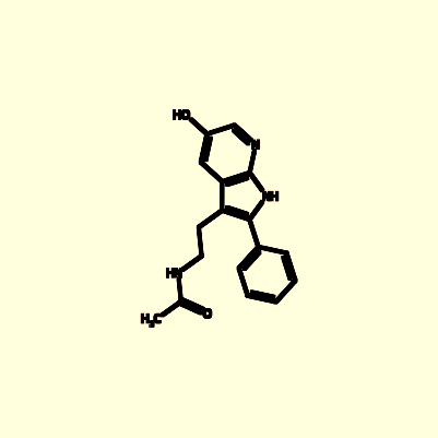 CC(=O)NCCc1c(-c2ccccc2)[nH]c2ncc(O)cc12